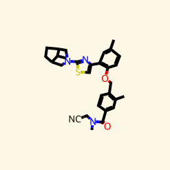 Cc1ccc(OCc2ccc(C(=O)N(C)CC#N)cc2C)c(-c2csc(N3CC4CCC(C3)C4C)n2)c1